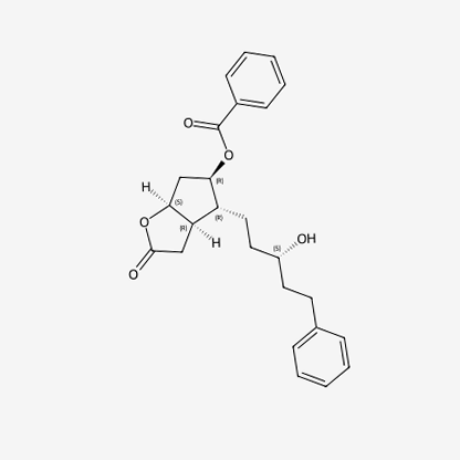 O=C1C[C@@H]2[C@@H](CC[C@H](O)CCc3ccccc3)[C@H](OC(=O)c3ccccc3)C[C@@H]2O1